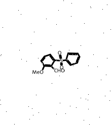 COc1cccc(S(=O)(=O)c2ccccc2)c1C=O